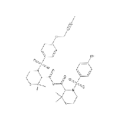 CC#CCOc1ccc(S(=O)(=O)N2CCSC(C)(C)C2C(=O)OC(=O)C2N(S(=O)(=O)c3ccc(O)cc3)CCSC2(C)C)cc1